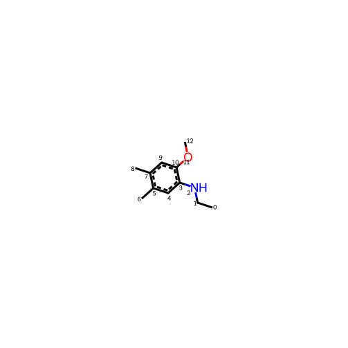 CCNc1cc(C)c(C)cc1OC